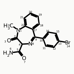 CN1C(=O)C(C(N)=O)N=C(c2ccc(Br)cc2)c2ccccc21